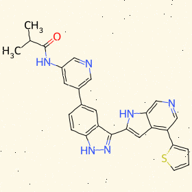 CC(C)C(=O)Nc1cncc(-c2ccc3[nH]nc(-c4cc5c(-c6cccs6)cncc5[nH]4)c3c2)c1